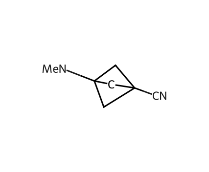 CNC12CC(C#N)(C1)C2